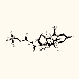 C[C@]12C=CC(=O)C=C1C(Cl)=C[C@@H]1[C@@H]2C(O)C[C@@]2(C)[C@H]1CC[C@]2(O)C(=O)COC(=O)CCS(=O)(=O)O